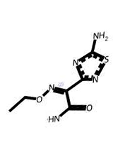 CCO/N=C(\C([NH])=O)c1nsc(N)n1